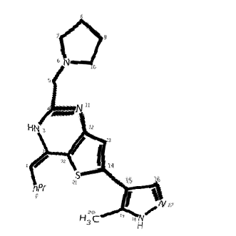 CCC/C=C1/NC(CN2CCCC2)=Nc2cc(-c3cn[nH]c3C)sc21